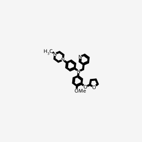 COc1ccc(N(Cc2cccnc2)c2ccc(N3CCN(C)CC3)cc2)cc1OC1CCCO1